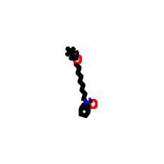 CN(CCCCCCCCCO[Si](C)(C)C(C)(C)C)C1C2CCC1C(=O)C2